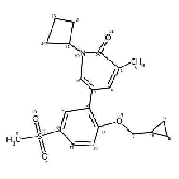 Cc1cc(-c2cc(S(C)(=O)=O)ccc2OCC2CC2)cn(C2CCC2)c1=O